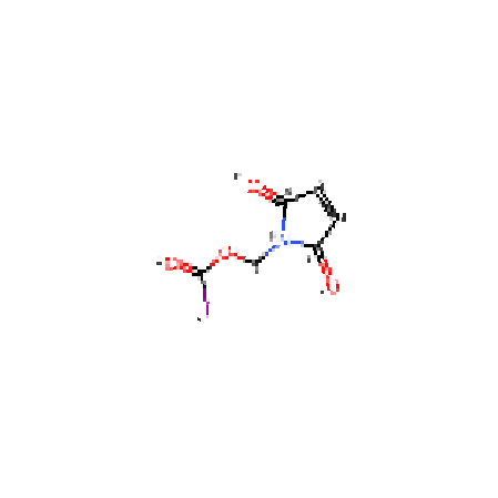 O=C(I)OCN1C(=O)C=CC1=O